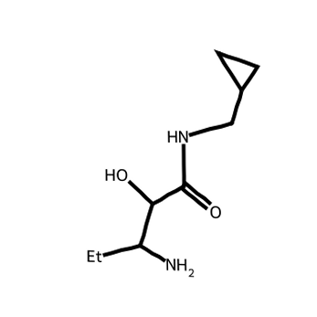 CCC(N)C(O)C(=O)NCC1CC1